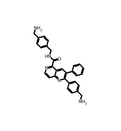 NCc1ccc(CNC(=O)c2nccc3nc(-c4ccc(CN)cc4)c(-c4ccccc4)cc23)cc1